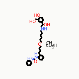 CC(=O)O.O=C(Nc1ccccc1)Nc1ccccc1CCCCOCCCCCCNC[C@H](O)c1ccc(O)c(CO)c1